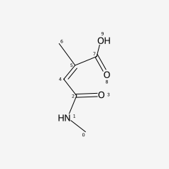 CNC(=O)C=C(C)C(=O)O